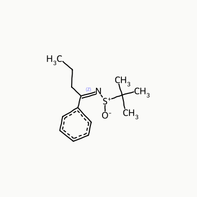 CCC/C(=N/[S+]([O-])C(C)(C)C)c1ccccc1